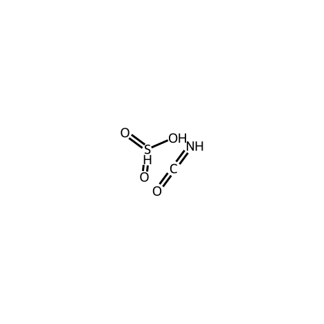 N=C=O.O=[SH](=O)O